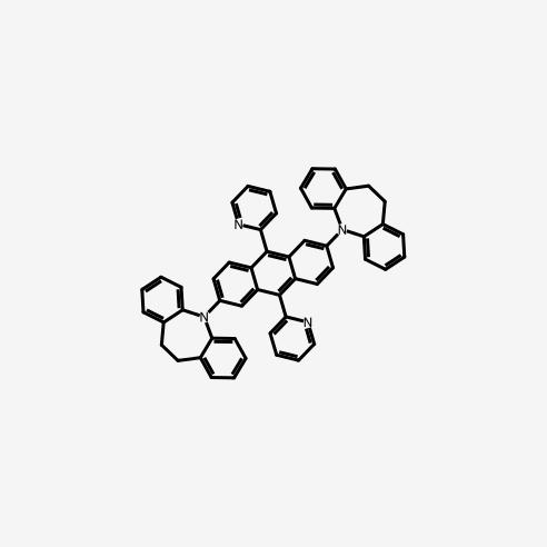 c1ccc(-c2c3ccc(N4c5ccccc5CCc5ccccc54)cc3c(-c3ccccn3)c3ccc(N4c5ccccc5CCc5ccccc54)cc23)nc1